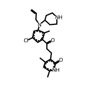 C=CCN(c1cc(Cl)cc(C(=O)CCc2c(C)cc(C)[nH]c2=O)c1C)C1CCNCC1